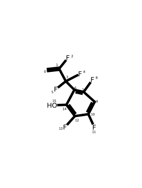 C=C(F)C(F)(F)c1c(F)[c]c(F)c(F)c1O